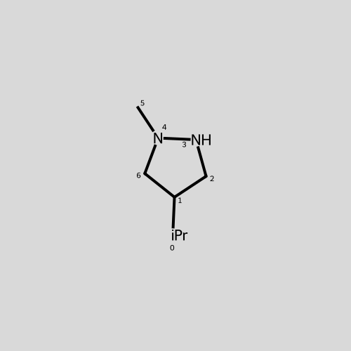 CC(C)C1CNN(C)C1